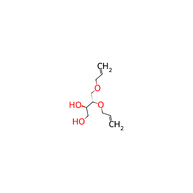 C=CCOC[C@H](OCC=C)[C@H](O)CO